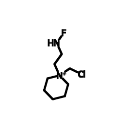 FNCC[N+]1(CCl)CCCCC1